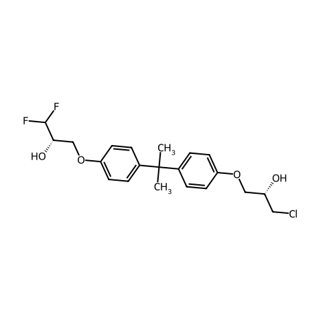 CC(C)(c1ccc(OC[C@H](O)CCl)cc1)c1ccc(OC[C@H](O)C(F)F)cc1